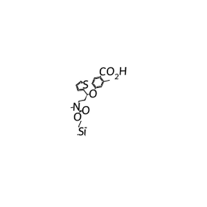 Cc1cc(O[C@@H](CCN(C)C(=O)OCC[Si](C)(C)C)c2cccs2)ccc1C(=O)O